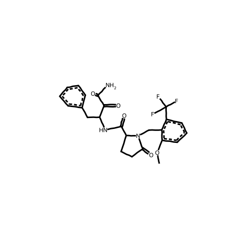 COc1cccc(C(F)(F)F)c1CN1C(=O)CCC1C(=O)NC(Cc1ccccc1)C(=O)C(N)=O